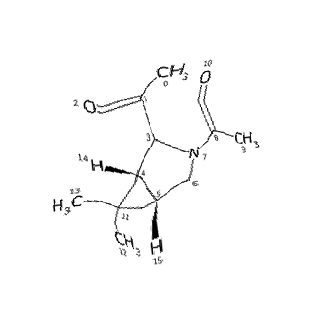 CC(=O)C1[C@@H]2[C@H](CN1C(C)=O)C2(C)C